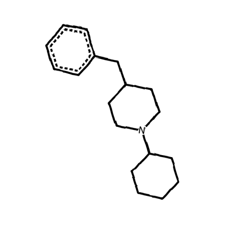 c1ccc(CC2CCN(C3CCCCC3)CC2)cc1